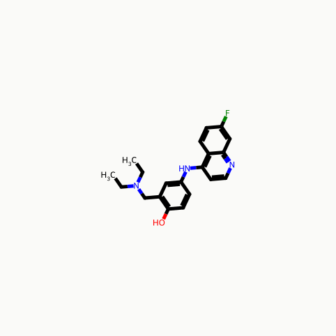 CCN(CC)Cc1cc(Nc2ccnc3cc(F)ccc23)ccc1O